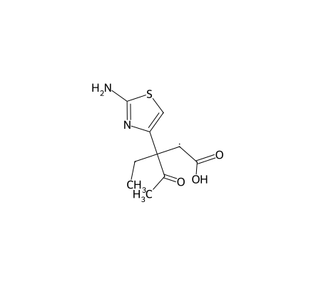 CCC([CH]C(=O)O)(C(C)=O)c1csc(N)n1